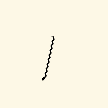 C#CCCCCCCCCCCCCCCCCC[CH2]